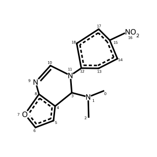 CN(C)C1c2ccoc2N=CN1c1ccc([N+](=O)[O-])cc1